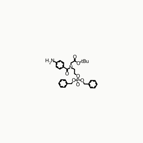 CC(C)(C)OC(=O)CN(CCOP(=O)(OCc1ccccc1)OCc1ccccc1)C(=O)c1ccc(N)cc1